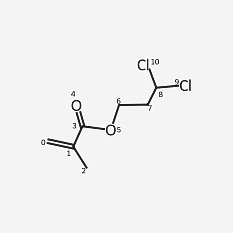 C=C(C)C(=O)OCCC(Cl)Cl